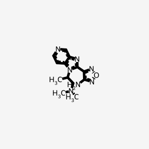 CC(CN(C)C)n1c(-c2nonc2N)nc2cnccc21